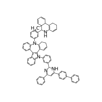 CC12C=CC=CC1C1=C(C=CCC1)NC2c1cccc(N2C3=C(C=CCC3)c3c(c4ccccc4n3-c3cccc(C4N=C(c5ccccc5)C=C(c5ccc(-c6ccccc6)cc5)N4)c3)-c3ccccc32)c1